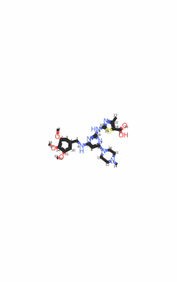 COc1cc(CNc2cc(N3CCN(C)CC3)nc(Nc3nc(C)c(C(=O)O)s3)n2)cc(OC)c1OC